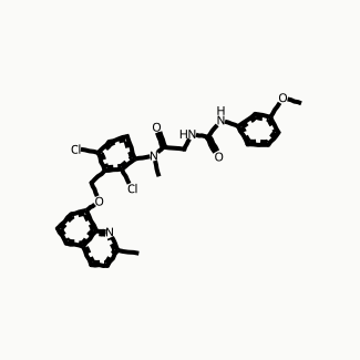 COc1cccc(NC(=O)NCC(=O)N(C)c2ccc(Cl)c(COc3cccc4ccc(C)nc34)c2Cl)c1